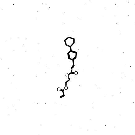 C=CC(=O)OCCOC(=O)/C=C/c1ccc(C2CCCCC2)cc1